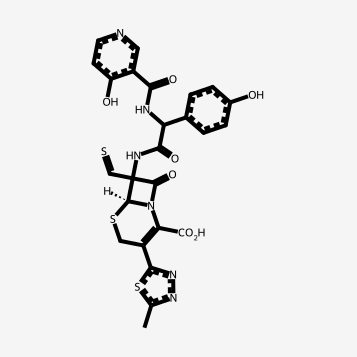 Cc1nnc(C2=C(C(=O)O)N3C(=O)C(C=S)(NC(=O)C(NC(=O)c4cnccc4O)c4ccc(O)cc4)[C@@H]3SC2)s1